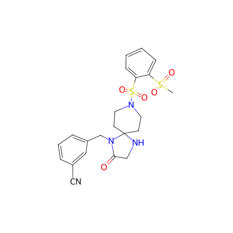 CS(=O)(=O)c1ccccc1S(=O)(=O)N1CCC2(CC1)NCC(=O)N2Cc1cccc(C#N)c1